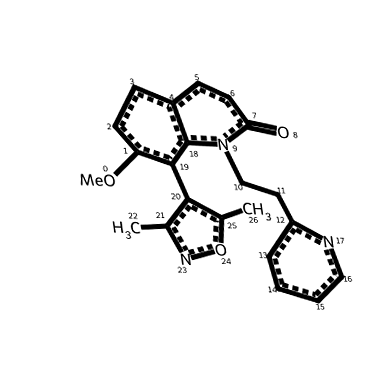 COc1ccc2ccc(=O)n(CCc3ccccn3)c2c1-c1c(C)noc1C